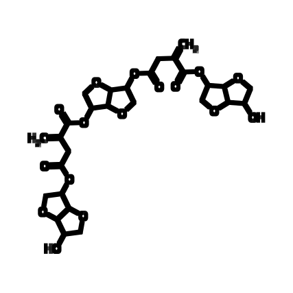 C=C(CC(=O)OC1COC2C(OC(=O)C(=C)CC(=O)OC3COC4C(O)COC34)COC12)C(=O)OC1COC2C(O)COC12